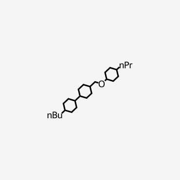 CCCCC1CCC(C2CCC(COC3CCC(CCC)CC3)CC2)CC1